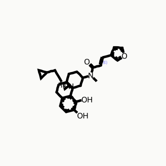 CN(C(=O)/C=C/c1ccoc1)C1CCC2(O)C3Cc4ccc(O)c(O)c4C2(CCN3CC2CC2)C1